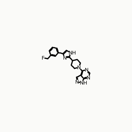 FCc1cccc(-c2c[nH]c(C3CCN(c4ncnc5[nH]ncc45)CC3)n2)c1